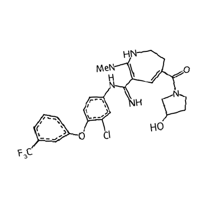 CNC1=C(C(=N)Nc2ccc(Oc3cccc(C(F)(F)F)c3)c(Cl)c2)C=C(C(=O)N2CCC(O)C2)CCN1